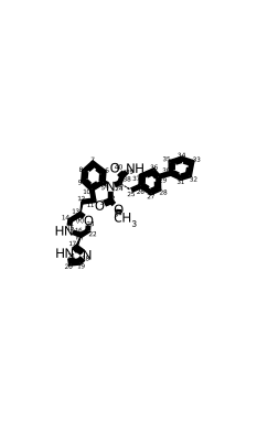 COC(=O)N(c1ccccc1CC[C@@H]1CN[C@H](c2ncc[nH]2)CO1)[C@@H](Cc1ccc(-c2ccccc2)cc1)C(N)=O